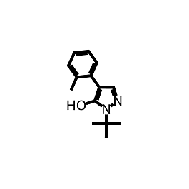 Cc1ccccc1-c1cnn(C(C)(C)C)c1O